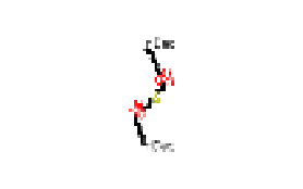 CCCCCCCCCCCCCCCC(=O)OC(=O)CCSCCC(=O)OC(=O)CCCCCCCCCCCCCCC